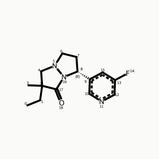 CCC1(C)CN2CC[C@H](c3cncc(F)c3)N2C1=O